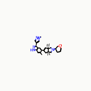 Cc1cc2[nH]nc(-c3cnn(C)c3)c2cc1C1=C[C@@H]2CN(C3CCCOC3)C[C@@H]2C1